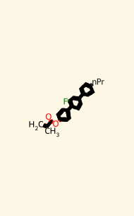 C=C(C)C(=O)Oc1ccc(-c2ccc(-c3ccc(CCC)cc3)cc2F)cc1